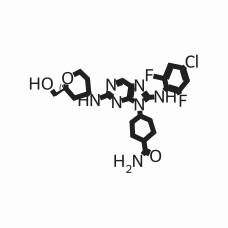 NC(=O)C1CCC(n2c(Nc3c(F)cc(Cl)cc3F)nc3cnc(NC4CCO[C@H](CO)C4)nc32)CC1